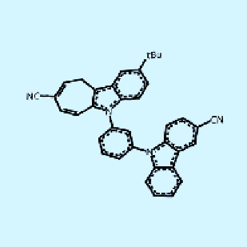 CC(C)(C)c1ccc2c(c1)c1c(n2-c2cccc(-n3c4ccccc4c4cc(C#N)ccc43)c2)C=CC(C#N)=CC1